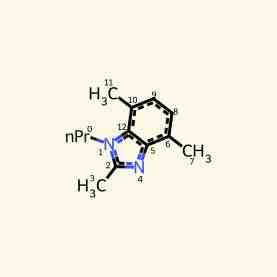 CCCn1c(C)nc2c(C)ccc(C)c21